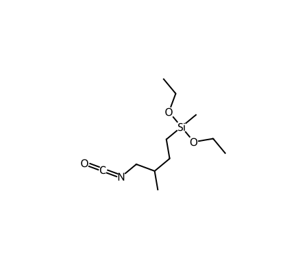 CCO[Si](C)(CCC(C)CN=C=O)OCC